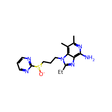 CCc1nc2c(N)nc(C)c(C)c2n1CCC[S+]([O-])c1ncccn1